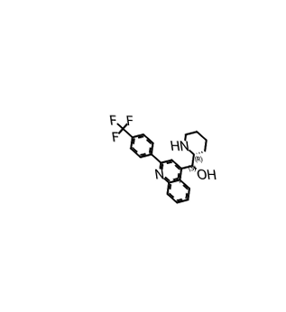 O[C@@H](c1cc(-c2ccc(C(F)(F)F)cc2)nc2ccccc12)[C@H]1CCCCN1